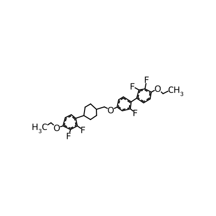 CCOc1ccc(-c2ccc(OCC3CCC(c4ccc(OCC)c(F)c4F)CC3)cc2F)c(F)c1F